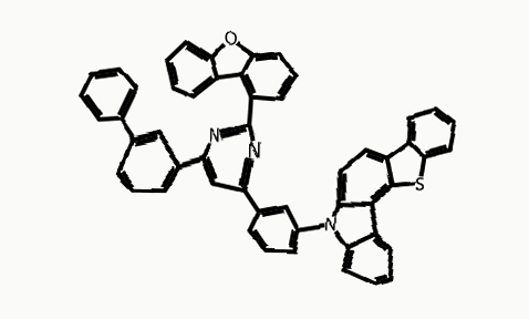 c1ccc(-c2cccc(-c3cc(-c4cccc(-n5c6ccccc6c6c7sc8ccccc8c7ccc65)c4)nc(-c4cccc5oc6ccccc6c45)n3)c2)cc1